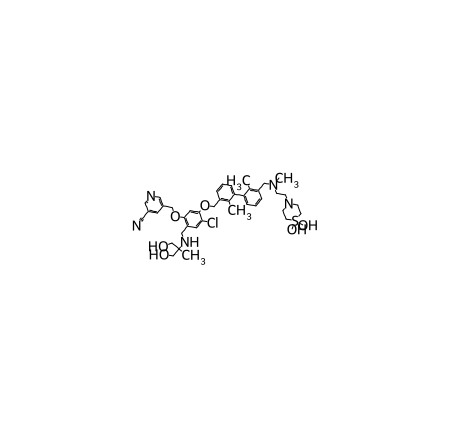 Cc1c(COc2cc(OCc3cncc(C#N)c3)c(CNC(C)(CO)CO)cc2Cl)cccc1-c1cccc(CN(C)CCN2CCS(O)(O)CC2)c1C